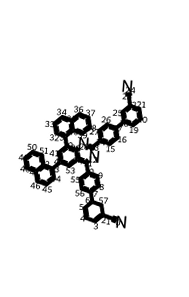 N#CC1=CC=CC(c2ccc(-c3nc(-c4ccc(-c5cccc(C#N)c5)cc4)nc4c(-c5cccc6ccccc56)cc(-c5cccc6ccccc56)cc34)cc2)C1